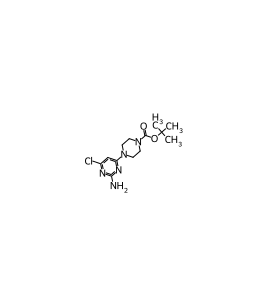 CC(C)(C)OC(=O)N1CCN(c2cc(Cl)nc(N)n2)CC1